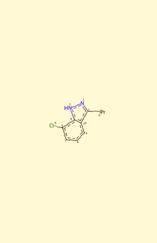 CC(C)c1n[nH]c2c(Cl)cccc12